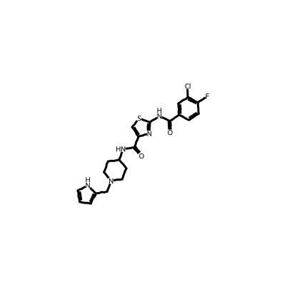 O=C(Nc1nc(C(=O)NC2CCN(Cc3ccc[nH]3)CC2)cs1)c1ccc(F)c(Cl)c1